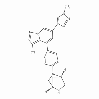 Cn1cc(-c2cc(-c3ccc(N4C[C@@H]5C[C@H]4CN5)nc3)c3c(C#N)cnn3c2)cn1